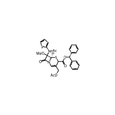 COC1(N(C(C)=O)c2cccs2)C(=O)N2C=C(COC(C)=O)C(C(=O)OC(c3ccccc3)c3ccccc3)S[C@@H]21